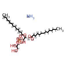 CCCCCCCCCCCCCC(=O)OC[C@H](COP(=O)(O)OCC(O)CO)OC(=O)CCCCCCCCCCCCC.N